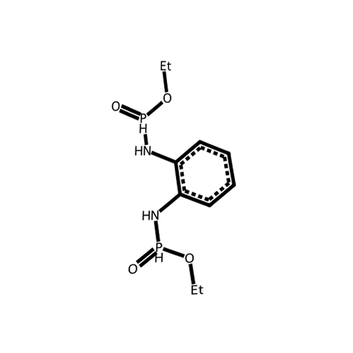 CCO[PH](=O)Nc1ccccc1N[PH](=O)OCC